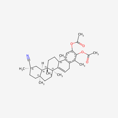 CC(=O)Oc1cc2c(c(C)c1OC(C)=O)CC=C1[C@@]2(C)CC[C@@]2(C)[C@@H]3C[C@](C)(C#N)CC[C@]3(C)CC[C@]12C